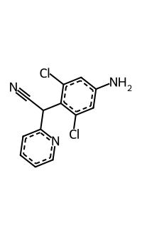 N#CC(c1ccccn1)c1c(Cl)cc(N)cc1Cl